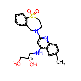 Cc1ccc2nc(N3CCS(=O)(=O)c4ccccc4C3)cc(NC[C@H](O)CO)c2c1